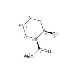 COC(=O)[C@H]1CNCC[C@H]1O